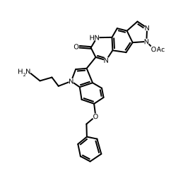 CC(=O)On1ncc2cc3[nH]c(=O)c(-c4cn(CCCN)c5cc(OCc6ccccc6)ccc45)nc3cc21